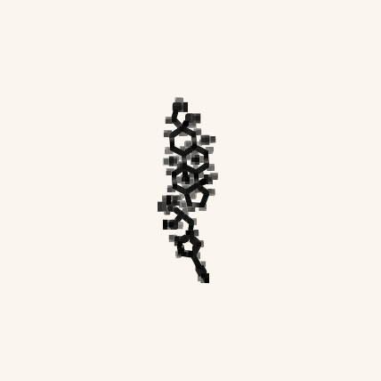 CC(O)(Cn1cc(C#N)cn1)[C@H]1CC[C@H]2[C@@H]3CC[C@@H]4C[C@@](O)(CO)CC[C@@H]4[C@H]3CC[C@]12C